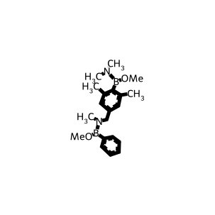 COB(c1c(C)cc(CN(C)B(OC)c2ccccc2)cc1C)N(C)C